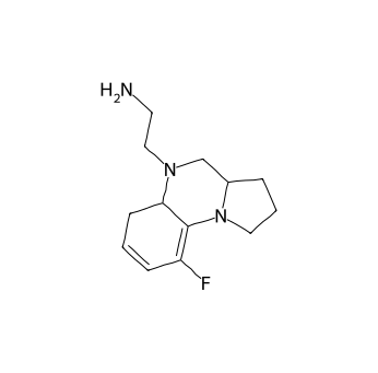 NCCN1CC2CCCN2C2=C(F)C=CCC21